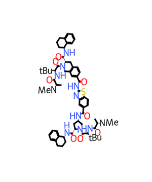 CN[C@@H](C)C(=O)NC(C(=O)N1C[C@@H](NC(=O)c2ccc3sc(NC(=O)c4ccc5c(c4)CN(C(=O)[C@@H](NC(=O)[C@H](C)NC)C(C)(C)C)[C@H](C(=O)N[C@@H]4CCCc6ccccc64)C5)nc3c2)C[C@H]1C(=O)N[C@@H]1CCCc2ccccc21)C(C)(C)C